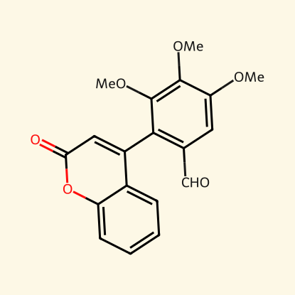 COc1cc(C=O)c(-c2cc(=O)oc3ccccc23)c(OC)c1OC